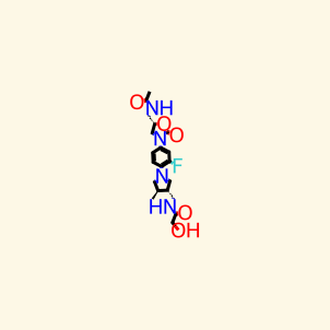 CC(=O)NC[C@H]1CN(c2ccc(N3C[C@H](CNC(=O)CO)[C@@H](C)C3)c(F)c2)C(=O)O1